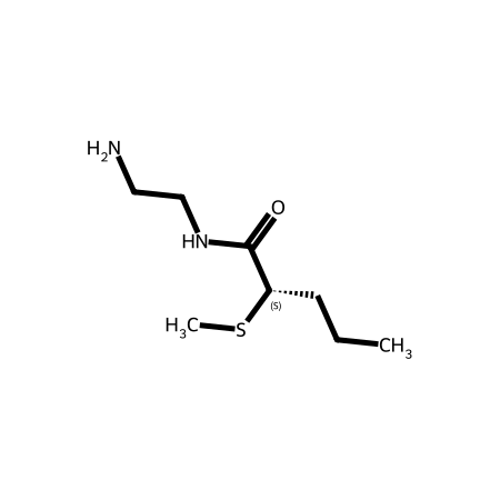 CCC[C@H](SC)C(=O)NCCN